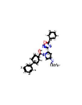 CON=C1C[C@@H](c2noc(-c3ccccc3)n2)N(C(=O)c2ccc(-c3ccccc3)cc2)C1